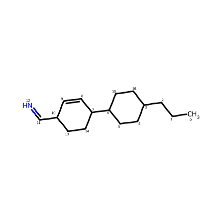 CCCC1CCC(C2C=CC(C=N)CC2)CC1